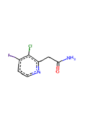 NC(=O)Cc1nccc(I)c1Cl